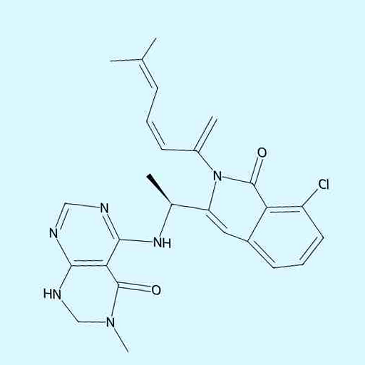 C=C(/C=C\C=C(C)C)n1c([C@H](C)Nc2ncnc3c2C(=O)N(C)CN3)cc2cccc(Cl)c2c1=O